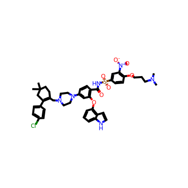 CN(C)CCCOc1ccc(S(=O)(=O)NC(=O)c2ccc(N3CCN(CC4=C(c5ccc(Cl)cc5)CC(C)(C)CC4)CC3)cc2Oc2cccc3[nH]ccc23)cc1[N+](=O)[O-]